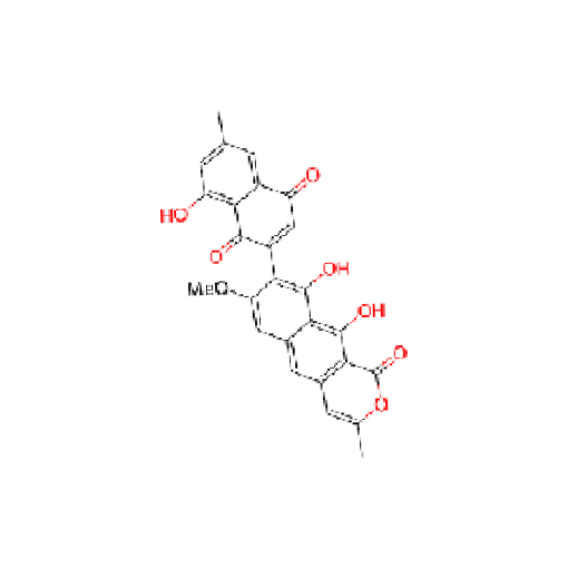 COc1cc2cc3cc(C)oc(=O)c3c(O)c2c(O)c1C1=CC(=O)c2cc(C)cc(O)c2C1=O